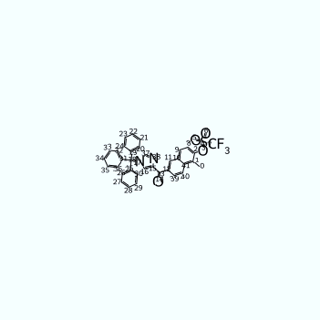 Cc1c(OS(=O)(=O)C(F)(F)F)ccc2cc(C(=O)c3cn(C(c4ccccc4)(c4ccccc4)c4ccccc4)cn3)ccc12